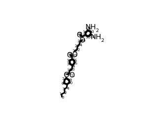 CCCCCc1ccc(OC(=O)C=Cc2ccc(C(=O)OCCCCCOC(=O)c3cc(N)cc(N)c3)cc2)cc1